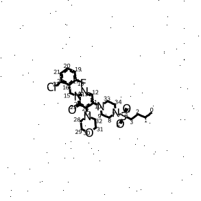 CCCCS(=O)(=O)N1CCN(c2cnn(Cc3c(F)cccc3Cl)c(=O)c2N2CCOCC2)CC1